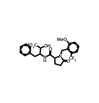 COc1cccc(C(F)(F)F)c1CN1C(=O)CCC1C(=O)NC(Cc1ccccc1)C(O)C(=O)O